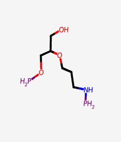 OCC(COP)OCCCNP